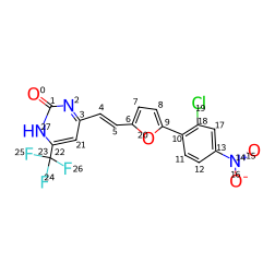 O=c1nc(C=Cc2ccc(-c3ccc([N+](=O)[O-])cc3Cl)o2)cc(C(F)(F)F)[nH]1